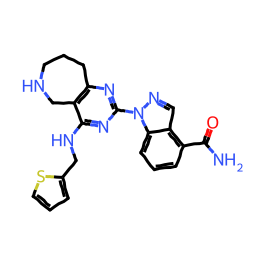 NC(=O)c1cccc2c1cnn2-c1nc2c(c(NCc3cccs3)n1)CNCCC2